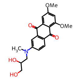 COc1cc(OC)c2c(c1)C(=O)c1cc(N(C)CC(O)CO)ccc1C2=O